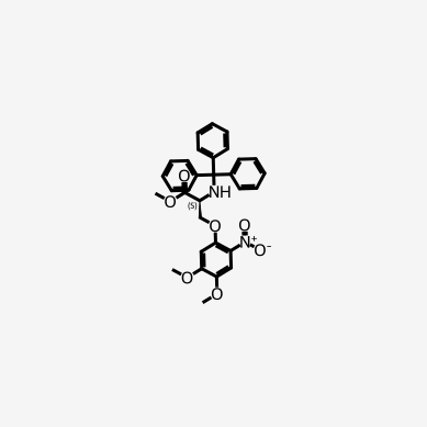 COC(=O)[C@H](COc1cc(OC)c(OC)cc1[N+](=O)[O-])NC(c1ccccc1)(c1ccccc1)c1ccccc1